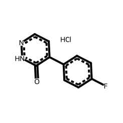 Cl.O=c1[nH]nccc1-c1ccc(F)cc1